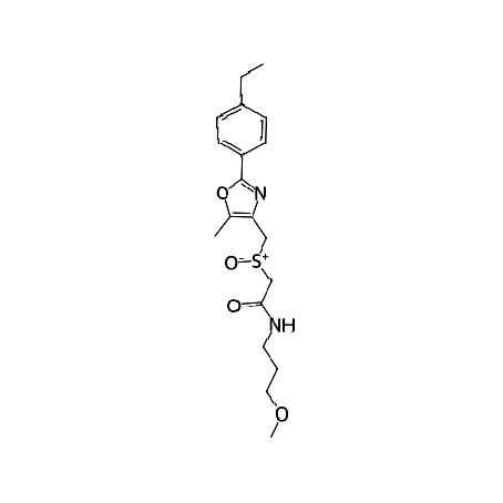 CCc1ccc(-c2nc(C[S+]([O-])CC(=O)NCCCOC)c(C)o2)cc1